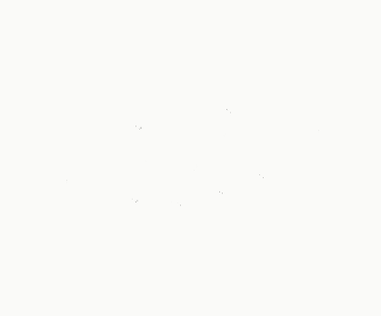 N#CC(C#N)=C1C(c2ccc(C(F)(F)F)cc2)=C(C#N)c2cc3c(cc21)C(=C(C#N)C#N)C(c1ccc(C(F)(F)F)cc1)=C3C#N